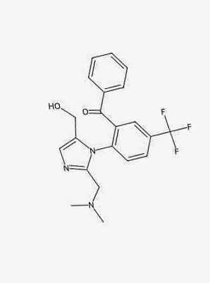 CN(C)Cc1ncc(CO)n1-c1ccc(C(F)(F)F)cc1C(=O)c1ccccc1